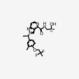 Cc1cc(C(C)n2cc3c(C(=O)NC[C@H](C)O)nccc3n2)ccc1OCC(C)(F)F